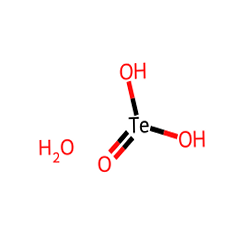 O.O=[Te](O)O